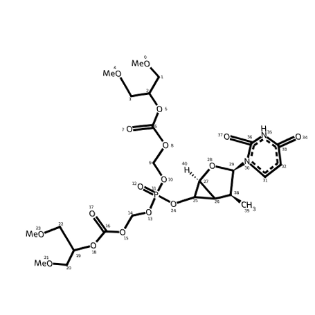 COCC(COC)OC(=O)OCOP(=O)(OCOC(=O)OC(COC)COC)OC1C2[C@@H]1O[C@@H](n1ccc(=O)[nH]c1=O)[C@H]2C